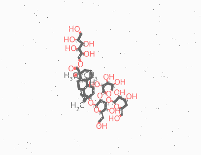 C=C1C[C@@]23CC[C@H]4[C@@](C)(CCC[C@@]4(C)C(=O)OC[C@H](O)[C@@H](O)[C@H](O)[C@H](O)CO)[C@@H]2CC[C@]1(O[C@@H]1O[C@H](CCO)[C@@H](O)[C@H](O[C@@H]2O[C@H](CO)C[C@H](O)[C@H]2O)[C@H]1O[C@@H]1OC[C@@H](O)[C@H](O)[C@H]1O)C3